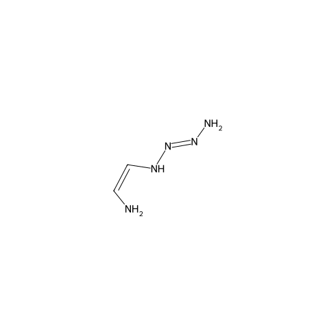 N/C=C\N/N=N/N